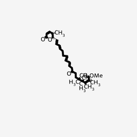 COC(=O)C(C)=C(C)C(C)(C)C(C)(C)CCC(=O)CC=CC=CCCC=CC=C[C@@H]1OC(=O)C=C[C@@H]1C